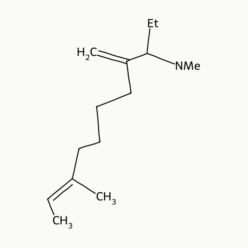 C=C(CCCC/C(C)=C/C)C(CC)NC